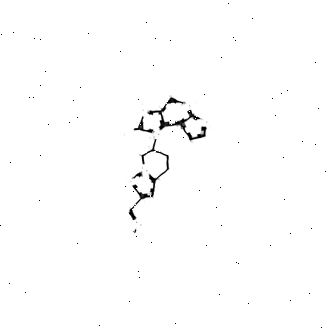 O/N=C/c1cc2n(n1)CC(n1c(C(F)(F)F)nc3cnc4[nH]ccc4c31)CC2